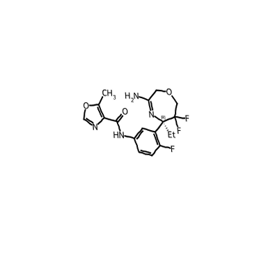 CC[C@]1(c2cc(NC(=O)c3ncoc3C)ccc2F)N=C(N)COCC1(F)F